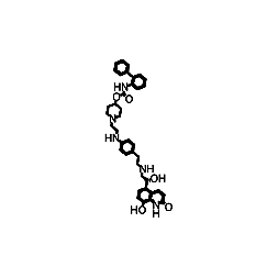 O=C(Nc1ccccc1-c1ccccc1)OC1CCN(CCNc2ccc(CCNC[C@H](O)c3ccc(O)c4[nH]c(=O)ccc34)cc2)CC1